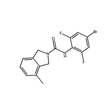 Cc1cccc2c1CN(C(=O)Nc1c(F)cc(Br)cc1F)C2